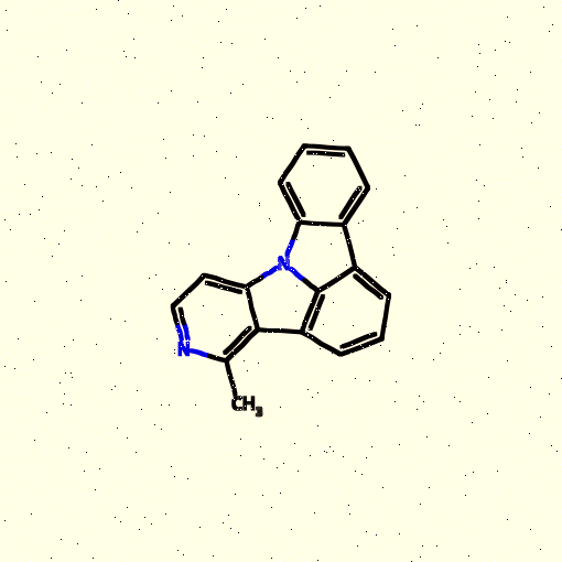 Cc1nccc2c1c1cccc3c4ccccc4n2c31